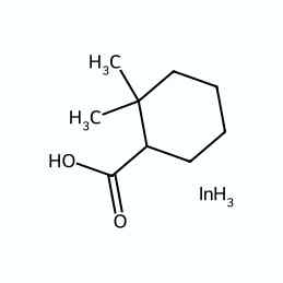 CC1(C)CCCCC1C(=O)O.[InH3]